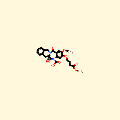 COC(=O)CCCOc1cc2c(cc1OC)C(=O)N1Cc3ccccc3C[C@H]1C(O)N2C(=O)O